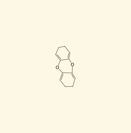 C1=C2OC3=CCCC=C3OC2=CCC1